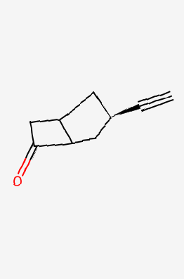 C#C[C@@H]1CC2CC(=O)C2C1